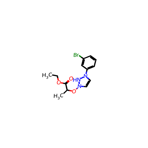 CCOC(=O)C(C)ON1C=CN(c2cccc(Br)c2)N1